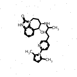 Cc1ccc(C)n1-c1ccc(CCC(C)N[C@@H]2CCn3c(=O)[nH]c4cccc(c43)[C@H]2O)cn1